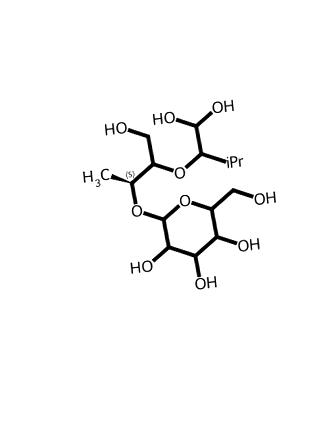 CC(C)C(OC(CO)[C@H](C)OC1OC(CO)C(O)C(O)C1O)C(O)O